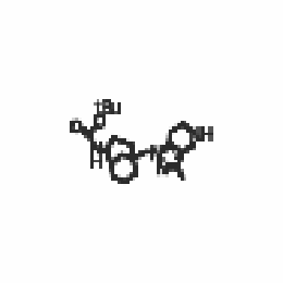 Cc1nn(CC23CCCC(C2)C(NC(=O)OC(C)(C)C)CC3)c2c1CNCC2